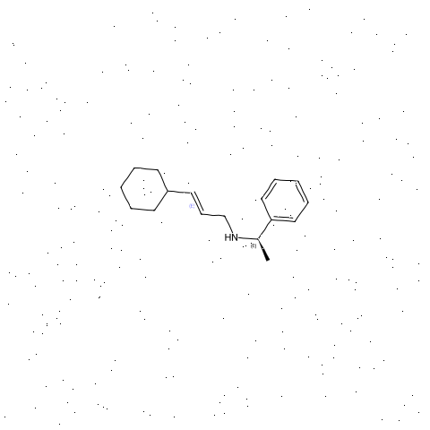 C[C@@H](NC/C=C/C1CCCCC1)c1ccccc1